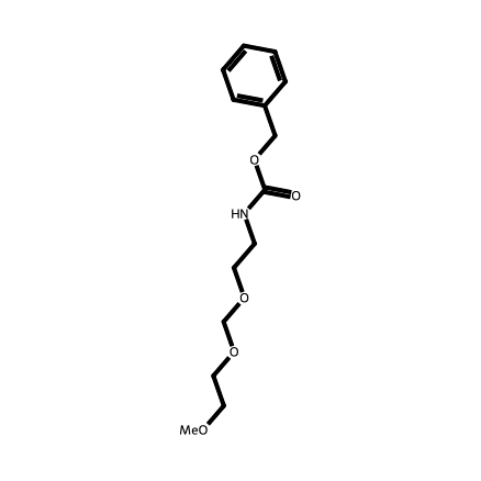 COCCOCOCCNC(=O)OCc1ccccc1